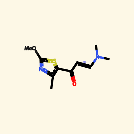 COc1nc(C)c(C(=O)/C=C/N(C)C)s1